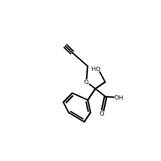 C#CCOC(CO)(C(=O)O)c1ccccc1